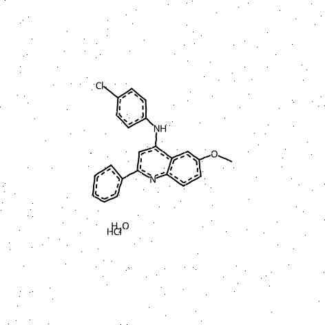 COc1ccc2nc(-c3ccccc3)cc(Nc3ccc(Cl)cc3)c2c1.Cl.O